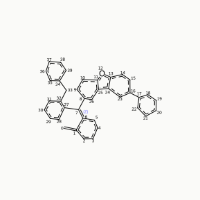 C=c1cccc/c1=C(\c1ccc2oc3ccc(-c4ccccc4)cc3c2c1)c1ccccc1Cc1ccccc1